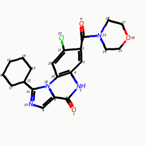 O=C(c1cc2[nH]c(=O)c3cnc(C4CCCCC4)n3c2cc1Cl)N1CCOCC1